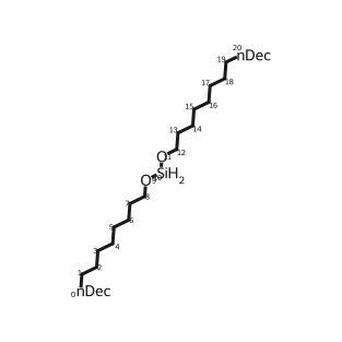 CCCCCCCCCCCCCCCCCCO[SiH2]OCCCCCCCCCCCCCCCCCC